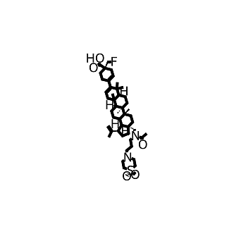 C=C(C)[C@@H]1CC[C@]2(CN(CCCN3CCS(=O)(=O)CC3)C(C)=O)CC[C@]3(C)[C@H](CC[C@@H]4C5(C)CC=C(C6=CC[C@@](CF)(C(=O)O)CC6)C(C)(C)[C@@H]5CC[C@]43C)[C@@H]12